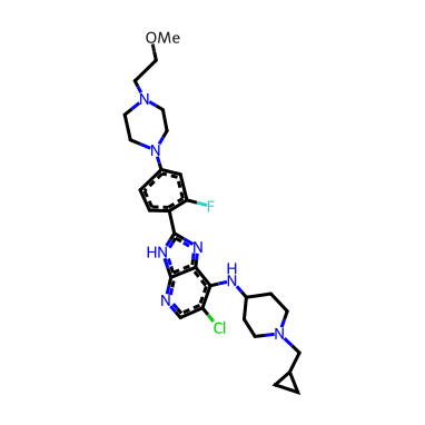 COCCN1CCN(c2ccc(-c3nc4c(NC5CCN(CC6CC6)CC5)c(Cl)cnc4[nH]3)c(F)c2)CC1